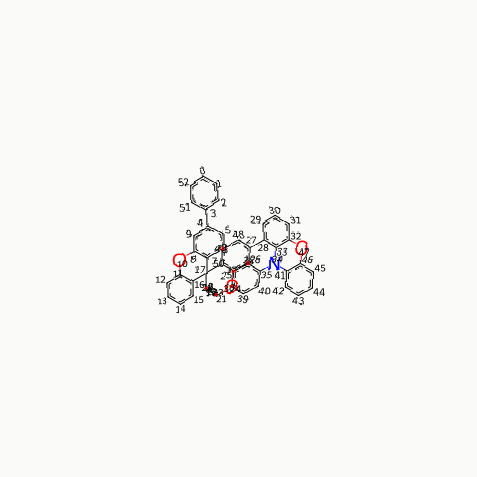 c1ccc(-c2ccc3c(c2)Oc2ccccc2C32c3ccccc3Oc3cc(-c4cccc5c4N(c4ccccc4)c4ccccc4O5)ccc32)cc1